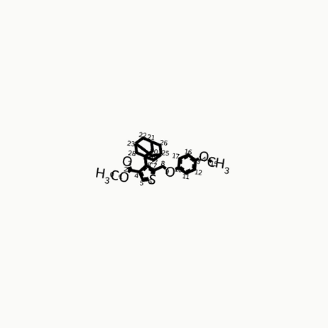 COC(=O)c1csc(COc2ccc(OC)cc2)c1C12CC3CC(CC(C3)C1)C2